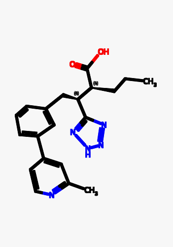 CCC[C@H](C(=O)O)[C@H](Cc1cccc(-c2ccnc(C)c2)c1)c1nn[nH]n1